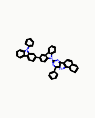 c1ccc(-c2nc(-n3c4ccccc4c4cc(-c5ccc6c7ccccc7n(-c7ccccc7)c6c5)ccc43)nc3c2[nH]c2c4ccccc4ccc32)cc1